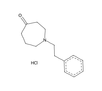 Cl.O=C1CCCN(CCc2ccccc2)CC1